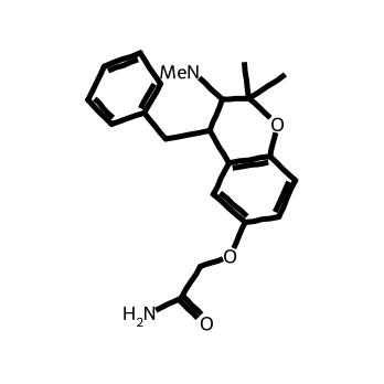 CNC1C(Cc2ccccc2)c2cc(OCC(N)=O)ccc2OC1(C)C